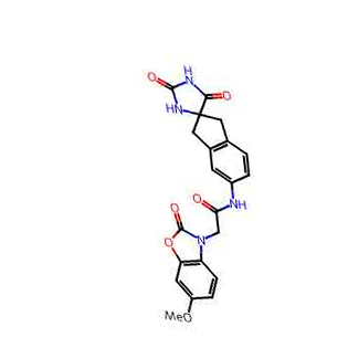 COc1ccc2c(c1)oc(=O)n2CC(=O)Nc1ccc2c(c1)CC1(C2)NC(=O)NC1=O